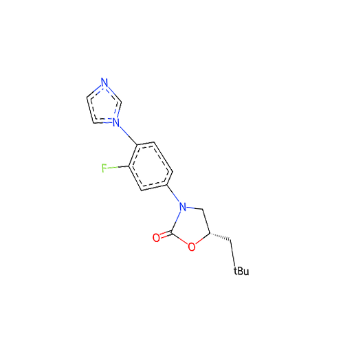 CC(C)(C)C[C@H]1CN(c2ccc(-n3ccnc3)c(F)c2)C(=O)O1